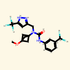 COC12CC(N(Cc3cc(C(F)(F)F)[nH]n3)C(=O)Nc3cccc(C(F)F)c3)(C1)C2